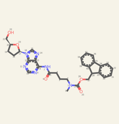 CN(CCCC(=O)Nc1ncnc2c1ncn2[C@H]1CC[C@@H](CO)O1)C(=O)OCC1c2ccccc2-c2ccccc21